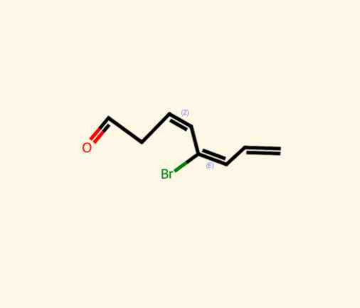 C=C/C=C(Br)\C=C/CC=O